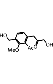 COc1c(CO)ccc(CC(=O)CO)c1C(C)=O